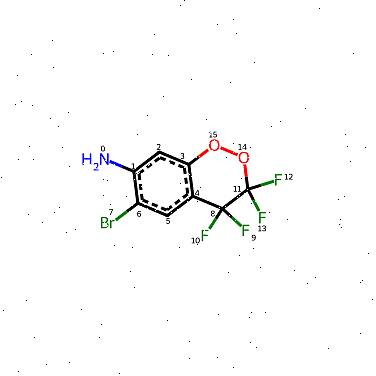 Nc1cc2c(cc1Br)C(F)(F)C(F)(F)OO2